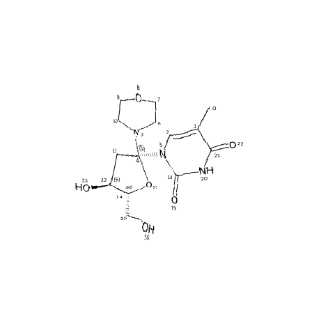 Cc1cn([C@@]2(N3CCOCC3)C[C@H](O)[C@@H](CO)O2)c(=O)[nH]c1=O